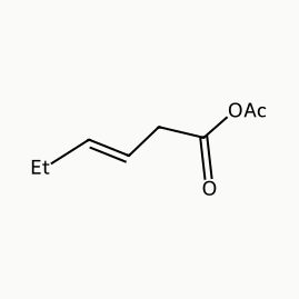 CCC=CCC(=O)OC(C)=O